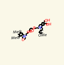 COc1ccc(C[C@@H]2c3cc(CO)c(CO)cc3CC[N@@+]2(C)CCCOC(=O)/C=C\C(=O)OCCC[N+]2(Cc3cc(OC)c(C)c(OC)c3)CCOCC2)cc1